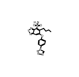 CCCCc1c(Oc2ccc(-n3cnnn3)cc2)cc2nsnc2c1S(N)(=O)=O